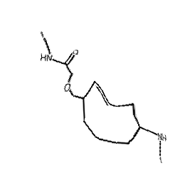 O=C(NI)OC1/C=C/CC(NI)CCC1